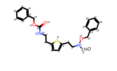 O=CN(CCc1ccc(CCNC(=O)OCc2ccccc2)s1)OCc1ccccc1